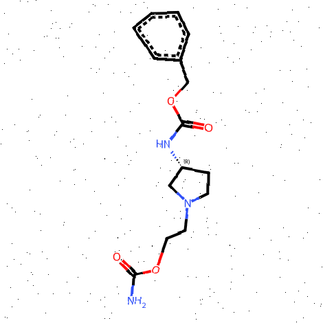 NC(=O)OCCN1CC[C@@H](NC(=O)OCc2ccccc2)C1